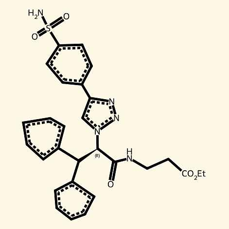 CCOC(=O)CCNC(=O)[C@@H](C(c1ccccc1)c1ccccc1)n1cc(-c2ccc(S(N)(=O)=O)cc2)nn1